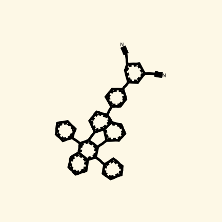 N#Cc1cc(C#N)cc(-c2ccc(-c3ccc4c5c(cccc35)-c3c-4c(-c4ccccc4)c4ccccc4c3-c3ccccc3)cc2)c1